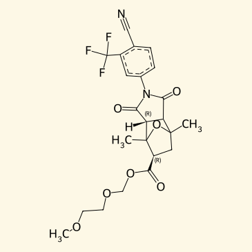 COCCOCOC(=O)[C@@H]1CC2(C)OC1(C)[C@@H]1C(=O)N(c3ccc(C#N)c(C(F)(F)F)c3)C(=O)C12